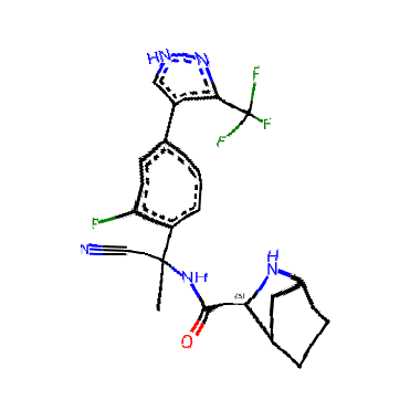 CC(C#N)(NC(=O)[C@H]1NC2CCC1C2)c1ccc(-c2c[nH]nc2C(F)(F)F)cc1F